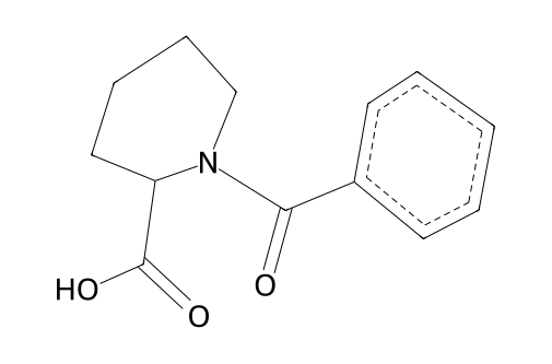 O=C(O)C1CCCCN1C(=O)c1ccccc1